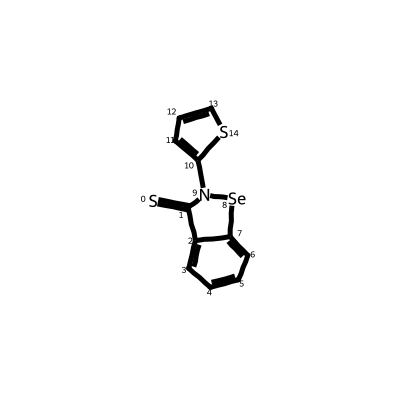 S=c1c2ccccc2[se]n1-c1cccs1